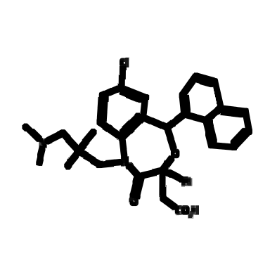 CCC1(CC(=O)O)OC(c2cccc3ccccc23)c2cc(Cl)ccc2N(CC(C)(C)CN(C)C)C1=O